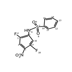 O=[N+]([O-])c1cc(F)c(NS(=O)(=O)c2ccccc2)cc1F